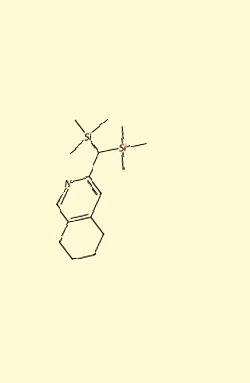 C[Si](C)(C)C(c1cc2c(cn1)CCCC2)[Si](C)(C)C